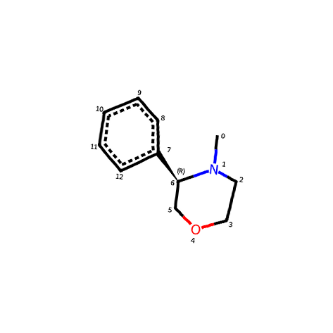 CN1CCOC[C@H]1c1ccccc1